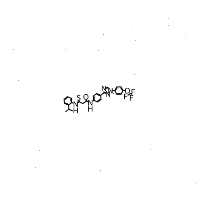 CC(C)c1ccccc1NC(=S)CC(=O)Nc1ccc(-c2ncn(-c3ccc(OC(F)(F)F)cc3)n2)cc1